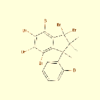 CC1(c2ccccc2Br)c2c(Br)c(Br)c(Br)c(Br)c2C(Br)(Br)C1(C)C